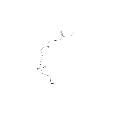 CCCCS(=O)(=O)CCCS(=O)(=O)CCC(=O)OC